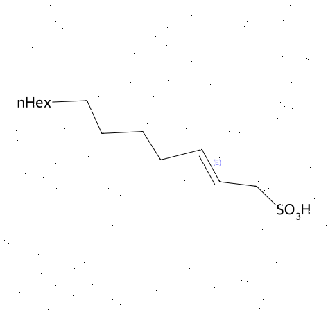 CCCCCCCCCC/C=C/CS(=O)(=O)O